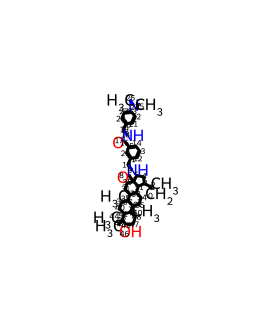 C=C(C)C1CCC2(C(=O)NCc3cccc(C(=O)NCc4ccc(N(C)C)cc4)c3)CCC3C(CCC4C3(C)CCC3C(C)(C)C(O)CCC34C)C12